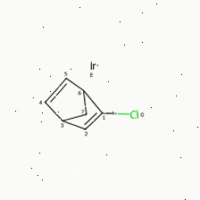 ClC1=CC2C=CC1C2.[Ir]